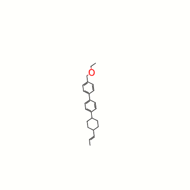 CC=CC1CCC(c2ccc(-c3ccc(COCC)cc3)cc2)CC1